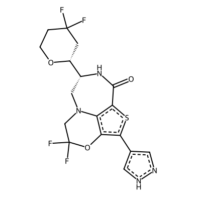 O=C1N[C@@H]([C@H]2CC(F)(F)CCO2)CN2CC(F)(F)Oc3c(-c4cn[nH]c4)sc1c32